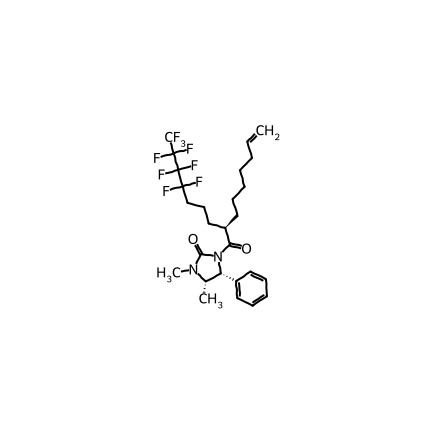 C=CCCCCC[C@H](CCCC(F)(F)C(F)(F)C(F)(F)C(F)(F)F)C(=O)N1C(=O)N(C)[C@@H](C)[C@H]1c1ccccc1